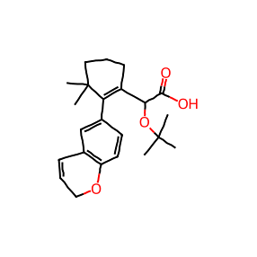 CC(C)(C)OC(C(=O)O)C1=C(c2ccc3c(c2)C=CCO3)C(C)(C)CCC1